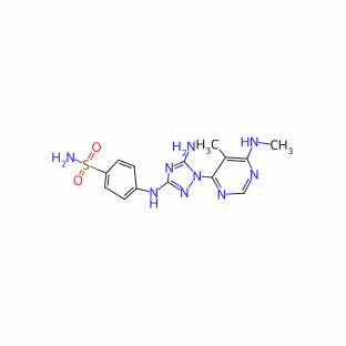 CNc1ncnc(-n2nc(Nc3ccc(S(N)(=O)=O)cc3)nc2N)c1C